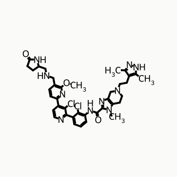 COc1nc(-c2ccnc(-c3cccc(NC(=O)c4nc5c(n4C)CCN(CCc4c(C)n[nH]c4C)C5)c3Cl)c2Cl)ccc1CNCC1CCC(=O)N1